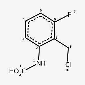 O=C(O)Nc1cccc(F)c1CCl